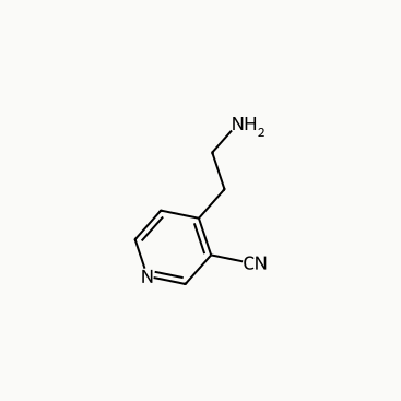 N#Cc1cnccc1CCN